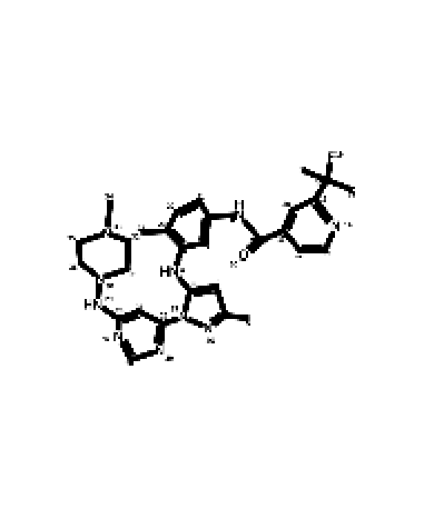 Cc1cc(Nc2cc(NC(=O)c3ccnc(C(C)(C)F)c3)ccc2C)n(-c2cc(NN3CCN(C)CC3)ncn2)n1